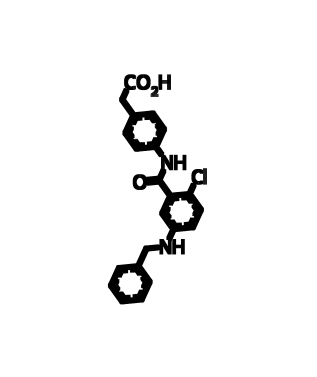 O=C(O)Cc1ccc(NC(=O)c2cc(NCc3ccccc3)ccc2Cl)cc1